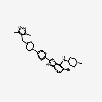 Cc1noc(C)c1CN1CCN(c2ccc(-c3nc4c(NC5CCN(C)CC5)c(Br)cnc4[nH]3)cc2)CC1